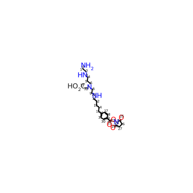 NCCNCCCN(CCNCCCCCc1ccc(C(=O)ON2C(=O)CCC2=O)cc1)CC(=O)O